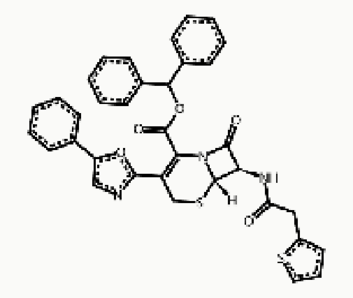 O=C(Cc1cccs1)N[C@@H]1C(=O)N2C(C(=O)OC(c3ccccc3)c3ccccc3)=C(c3ncc(-c4ccccc4)o3)CS[C@@H]12